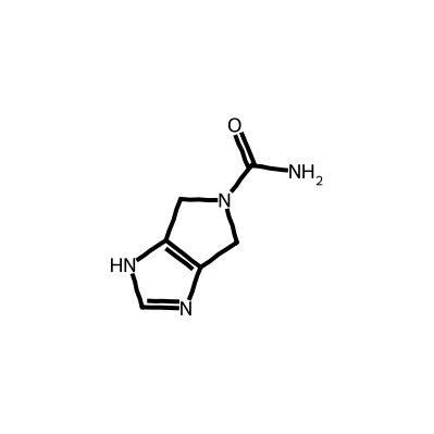 NC(=O)N1Cc2nc[nH]c2C1